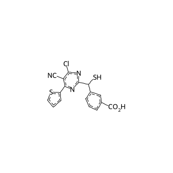 N#Cc1c(Cl)nc(C(S)c2cccc(C(=O)O)c2)nc1-c1cccs1